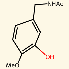 COc1ccc(CNC(C)=O)cc1O